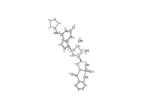 O=C(c1ccccc1)C(OC[C@H]1O[C@@H](n2ncc3c(NC4CCCC4)nc(Cl)nc32)[C@H](O)[C@@H]1O)P(=O)(O)O